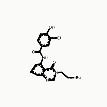 CCc1cc(C(=O)Nc2cccc3ncn(CCC(C)(C)C)c(=O)c23)ccc1O